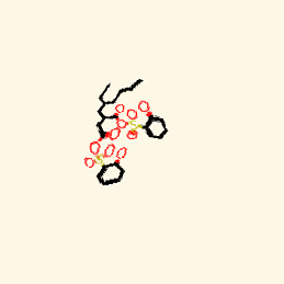 CCCCC(CC)CC(CC(=O)OS(=O)(=O)C1=CC=CCC1=O)C(=O)OS(=O)(=O)C1=CC=CCC1=O